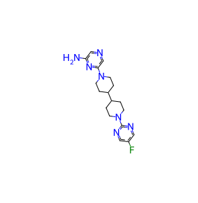 Nc1cncc(N2CCC(C3CCN(c4ncc(F)cn4)CC3)CC2)n1